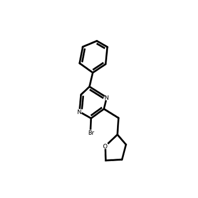 Brc1ncc(-c2ccccc2)nc1CC1CCCO1